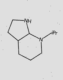 CC(C)N1CCCC2CCNC21